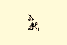 N#Cc1ccc2c(c1)c1ccccc1n2-c1nc(-c2ccc([Si](c3ccccc3)(c3ccccc3)c3ccc(-c4ccccc4)cc3)cc2)nc(-c2cccc([Si](c3ccccc3)(c3ccccc3)c3ccccc3)c2)n1